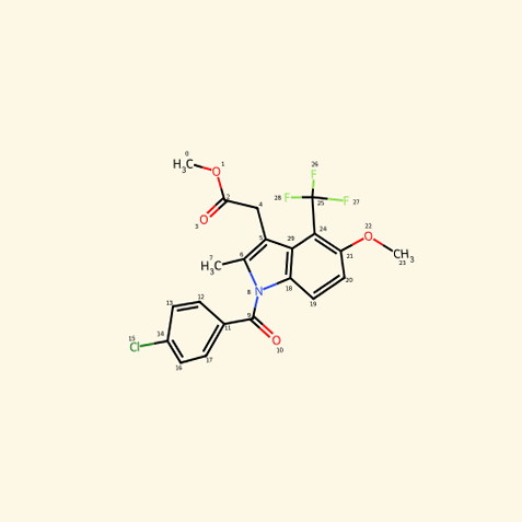 COC(=O)Cc1c(C)n(C(=O)c2ccc(Cl)cc2)c2ccc(OC)c(C(F)(F)F)c12